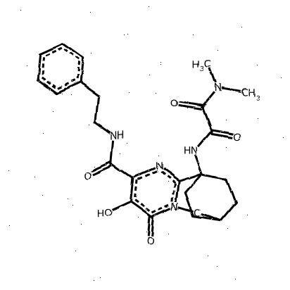 CN(C)C(=O)C(=O)NC12CCC(CC1)Cn1c2nc(C(=O)NCCc2ccccc2)c(O)c1=O